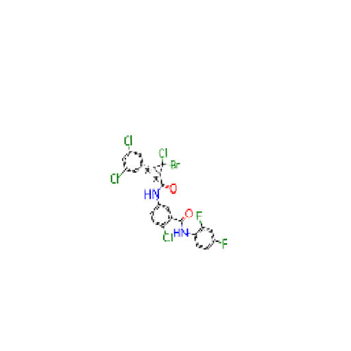 O=C(Nc1ccc(F)cc1F)c1cc(NC(=O)[C@H]2[C@H](c3cc(Cl)cc(Cl)c3)C2(Cl)Br)ccc1Cl